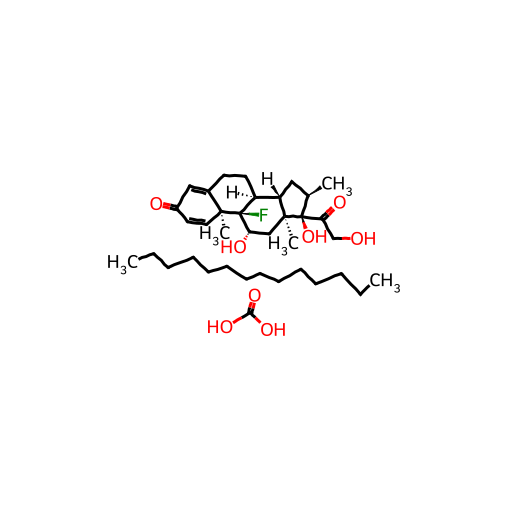 CCCCCCCCCCCCCC.C[C@@H]1C[C@H]2[C@@H]3CCC4=CC(=O)C=C[C@]4(C)[C@@]3(F)[C@@H](O)C[C@]2(C)[C@@]1(O)C(=O)CO.O=C(O)O